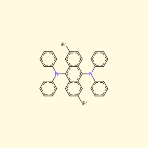 CC(C)c1ccc2c(N(c3ccccc3)c3ccccc3)c3cc(C(C)C)ccc3c(N(c3ccccc3)c3ccccc3)c2c1